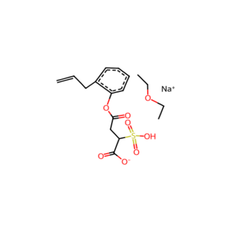 C=CCc1ccccc1OC(=O)CC(C(=O)[O-])S(=O)(=O)O.CCOCC.[Na+]